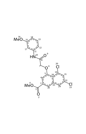 COC(=O)c1cc(OCC(=O)Nc2cccc(OC)c2)c2c(Cl)cc(Cl)cc2c1